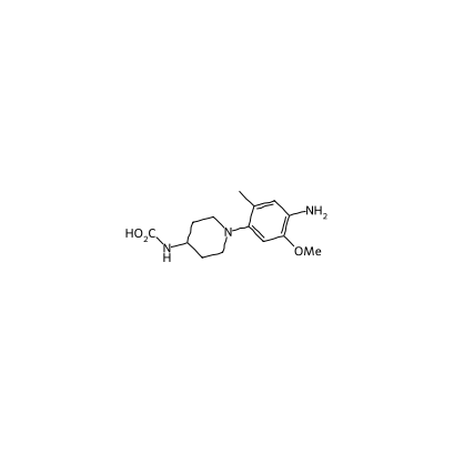 COc1cc(N2CCC(NC(=O)O)CC2)c(C)cc1N